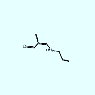 [CH2]CCNC=C(C)C=O